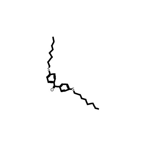 CCCCCCCCSc1ccc(C(=O)c2ccc(SCCCCCCCC)cc2)cc1